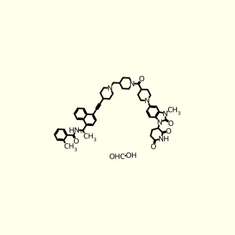 Cc1ccccc1C(=O)N[C@H](C)c1ccc(C#CC2CCN(CC3CCN(C(=O)C4CCN(c5ccc6c(c5)n(C)c(=O)n6C5CCC(=O)NC5=O)CC4)CC3)CC2)c2ccccc12.O=CO